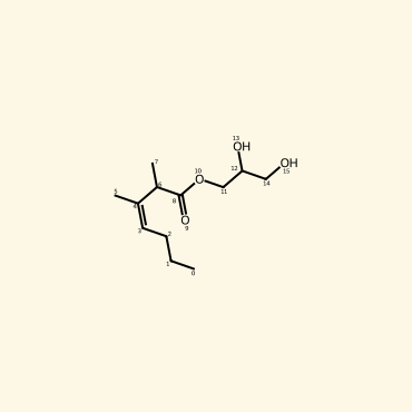 CCCC=C(C)C(C)C(=O)OCC(O)CO